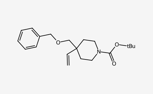 C=CC1(COCc2ccccc2)CCN(C(=O)OC(C)(C)C)CC1